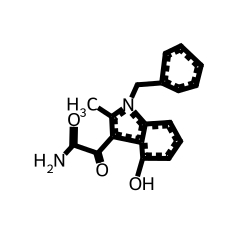 Cc1c(C(=O)C(N)=O)c2c(O)cccc2n1Cc1ccccc1